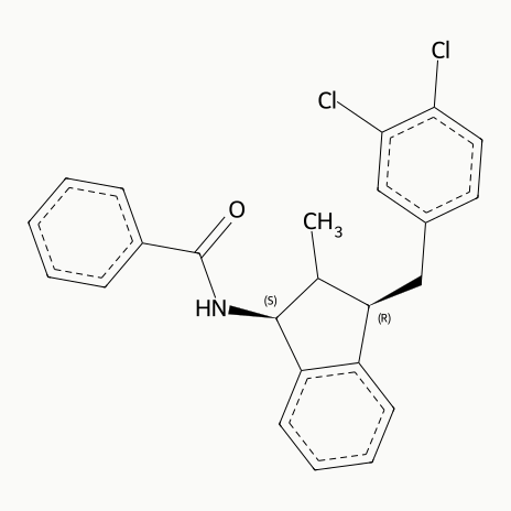 CC1[C@H](NC(=O)c2ccccc2)c2ccccc2[C@@H]1Cc1ccc(Cl)c(Cl)c1